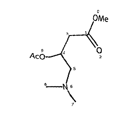 COC(=O)CC(CN(C)C)OC(C)=O